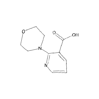 O=C(O)c1cccnc1N1CCOCC1